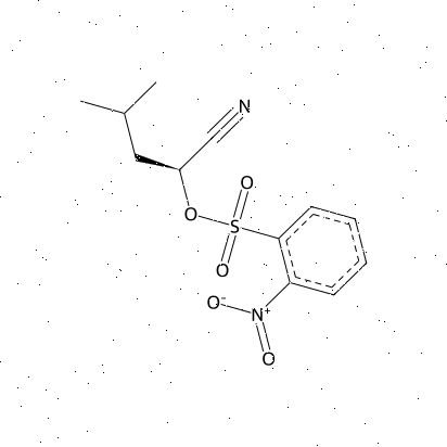 CC(C)C[C@@H](C#N)OS(=O)(=O)c1ccccc1[N+](=O)[O-]